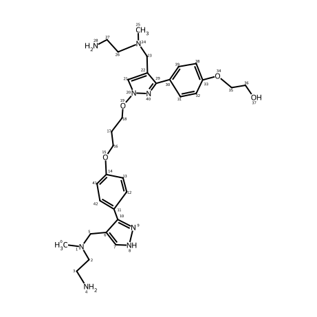 CN(CCN)Cc1c[nH]nc1-c1ccc(OCCCOn2cc(CN(C)CCN)c(-c3ccc(OCCO)cc3)n2)cc1